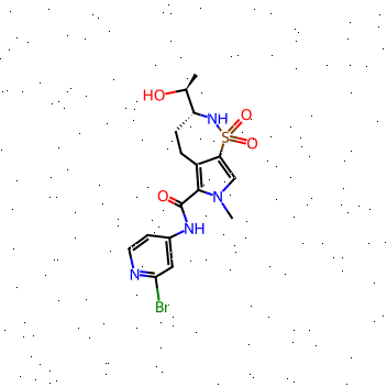 C[C@H](O)[C@H]1CCc2c(cn(C)c2C(=O)Nc2ccnc(Br)c2)S(=O)(=O)N1